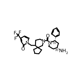 N[C@@H]1CCN(C(=O)N2CCC(Cn3ccc(C(F)(F)F)cc3=O)C3(CCCC3)C2)[C@H](c2ccccc2)C1